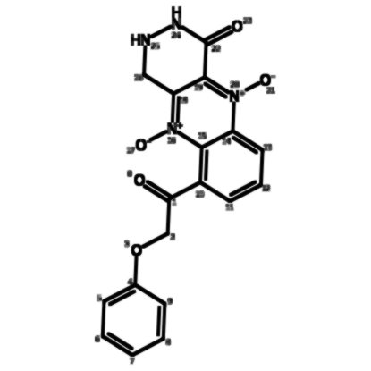 O=C(COc1ccccc1)c1cccc2c1[n+]([O-])c1c([n+]2[O-])C(=O)NNC1